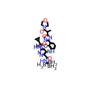 BC(B)(B)NC(=O)c1nnc(NC(=O)C2CC2)cc1Nc1cccc(-c2noc(C(C)C(=O)N3CCOCC3)n2)c1OC